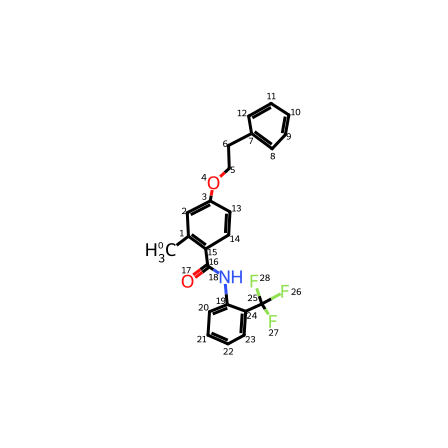 Cc1cc(OCCc2ccccc2)ccc1C(=O)Nc1ccccc1C(F)(F)F